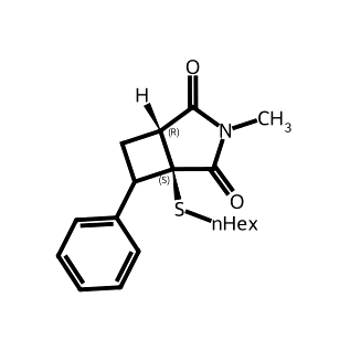 CCCCCCS[C@]12C(=O)N(C)C(=O)[C@H]1CC2c1ccccc1